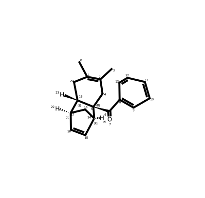 CC1=C(C)C[C@]2(C(=O)c3ccccc3)[C@H]3C=C[C@H](C3)[C@@H]2C1